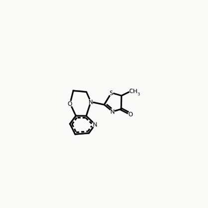 CC1SC(N2CCOc3cccnc32)=NC1=O